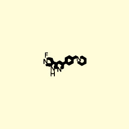 Fc1cc2c(cn1)[nH]c1ncc(-c3ccc(CN4CCCCC4)cc3)cc12